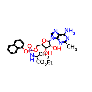 CCOC(=O)[C@H](C)NP(=O)(OC[C@H]1O[C@@H](n2cnc3c(N)nc(C)nc32)[C@H](O)C1O)Oc1cccc2ccccc12